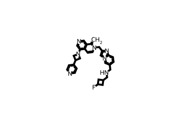 C=C1c2cncc(N3CC(c4ccncc4)C3)c2C=CN1Cc1cn2cc(CNCC3CC(F)C3)ccc2n1